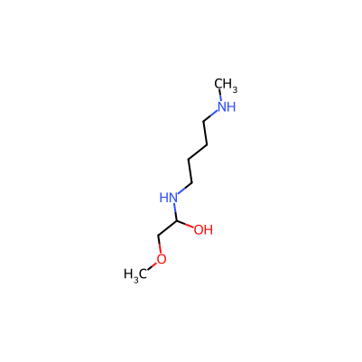 CNCCCCNC(O)COC